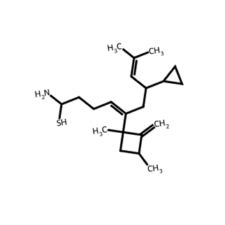 C=C1C(C)CC1(C)/C(=C\CCC(N)S)CC(C=C(C)C)C1CC1